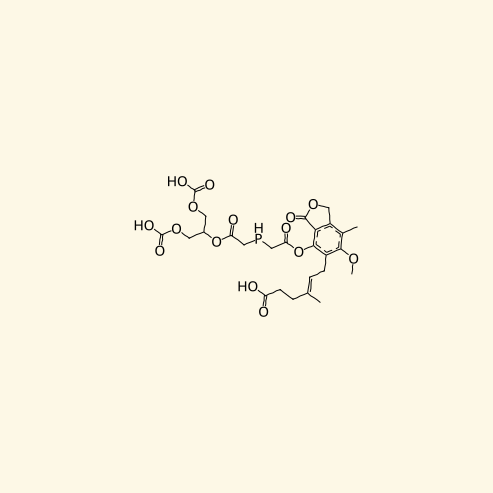 COc1c(C)c2c(c(OC(=O)CPCC(=O)OC(COC(=O)O)COC(=O)O)c1C/C=C(\C)CCC(=O)O)C(=O)OC2